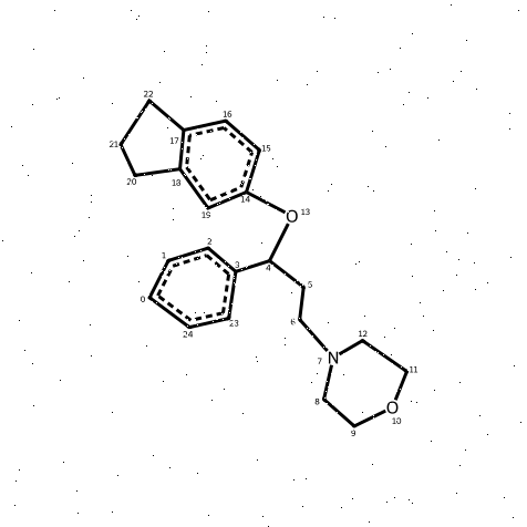 c1ccc(C(CCN2CCOCC2)Oc2ccc3c(c2)CCC3)cc1